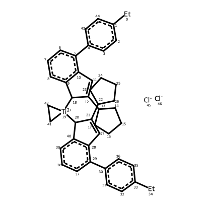 CCc1ccc(-c2cccc3c2C=C(C2CCCC2)[CH]3[Ti+2]2([CH]3C(C4CCCC4)=Cc4c(-c5ccc(CC)cc5)cccc43)[CH2][CH2]2)cc1.[Cl-].[Cl-]